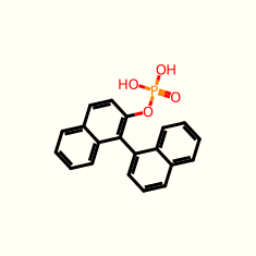 O=P(O)(O)Oc1ccc2ccccc2c1-c1cccc2ccccc12